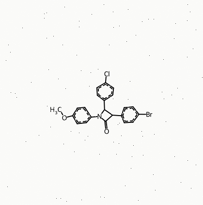 COc1ccc(N2C(=O)C(c3ccc(Br)cc3)C2c2ccc(Cl)cc2)cc1